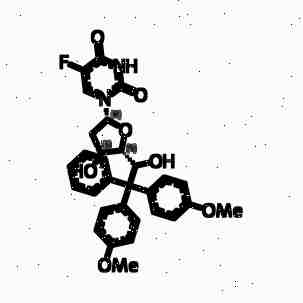 COc1ccc(C(c2ccccc2)(c2ccc(OC)cc2)C(O)[C@H]2O[C@@H](n3cc(F)c(=O)[nH]c3=O)C[C@@H]2O)cc1